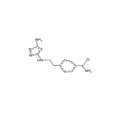 Nc1nnc(NCCc2ccc([S+](N)[O-])cc2)s1